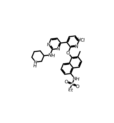 CCS(=O)(=O)Nc1cccc2c(Oc3ncccc3-c3ccnc(NC4CCCNC4)n3)c(C)ccc12.Cl